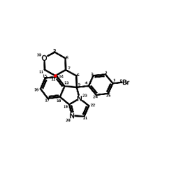 Brc1ccc(C2(CC3CCOCC3)c3ccccc3-c3nccn32)cc1